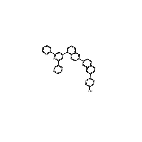 N#Cc1ccc(-c2ccc3ccc(-c4ccc5c(-c6cc(-c7ccccn7)nc(-c7ccccn7)c6)cccc5c4)cc3c2)cc1